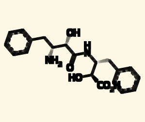 N[C@H](Cc1ccccc1)[C@H](O)C(=O)N[C@H](Cc1ccccc1)[C@H](O)C(=O)O